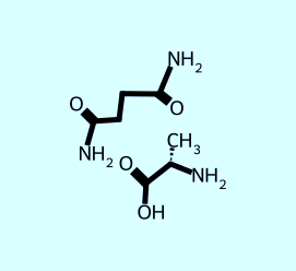 C[C@H](N)C(=O)O.NC(=O)CCC(N)=O